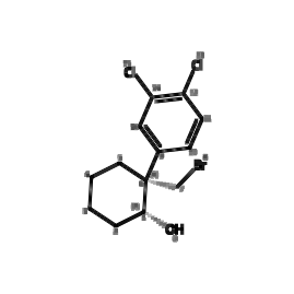 O[C@@H]1CCCC[C@@]1(CBr)c1ccc(Cl)c(Cl)c1